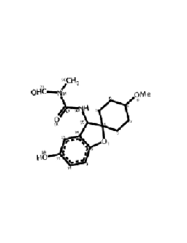 COC1CCC2(CC1)Oc1ccc(O)cc1C2NC(=O)N(C)C=O